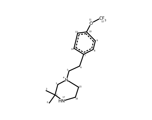 CC1(C)CN(CCc2ccc(OC(F)(F)F)cc2)CCN1